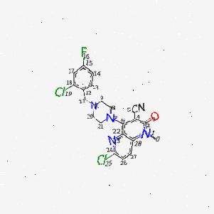 Cn1c(=O)c(C#N)c(N2CCN(Cc3ccc(F)cc3Cl)CC2)c2nc(Cl)ccc21